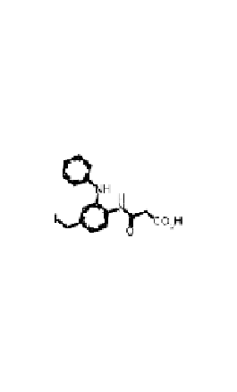 O=C(O)CC(=O)Nc1ccc(CI)cc1Nc1ccccc1